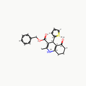 CC1=C(C(=O)OCc2ccccc2)C(c2cccs2)C2=C(CCCC2=O)N1